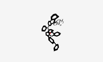 CC1(C)c2ccccc2-c2ccc(N(c3ccccc3)c3ccc(-c4ccccc4-n4c5ccccc5c5ccc(-c6ccccc6)cc54)cc3)cc21